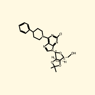 CC1(C)O[C@@H]2[C@H](O1)[C@@H](CO)O[C@H]2n1cnc2c(N3CCC(c4ccccc4)CC3)nc(Cl)nc21